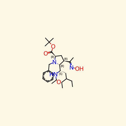 CCC(CC)C[C@H](NC(C)=O)[C@H]1[C@H](C(C)=NO)C[C@H](C(=O)OC(C)(C)C)N1Cc1ccccc1